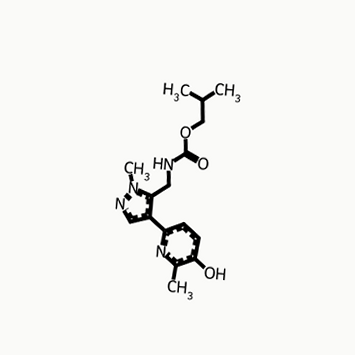 Cc1nc(-c2cnn(C)c2CNC(=O)OCC(C)C)ccc1O